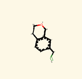 ClCc1ccc2c(c1)COCC2